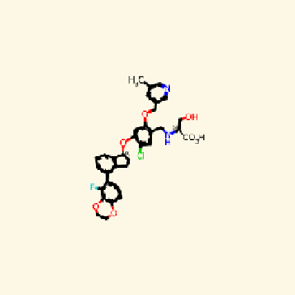 Cc1cncc(COc2cc(O[C@H]3CCc4c(-c5ccc6c(c5F)OCCO6)cccc43)c(Cl)cc2CN[C@@H](CO)C(=O)O)c1